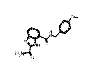 COc1ccc(CNC(=O)c2cccc3nc(C(N)=O)[nH]c23)cc1